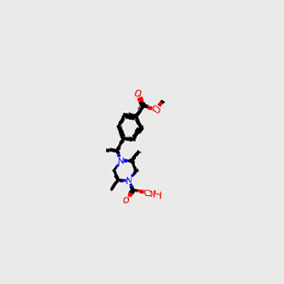 COC(=O)c1ccc(C(C)N2CC(C)N(C(=O)O)CC2C)cc1